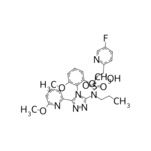 CCCN(c1nnc(-c2cccc(OC)n2)n1-c1c(OC)cccc1OC)S(=O)(=O)C[C@@H](O)c1ccc(F)cn1